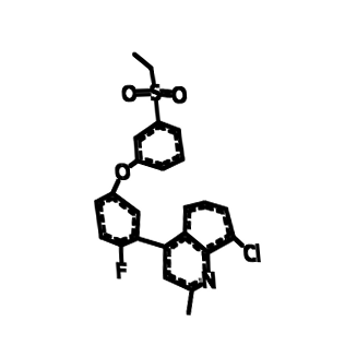 CCS(=O)(=O)c1cccc(Oc2ccc(F)c(-c3cc(C)nc4c(Cl)cccc34)c2)c1